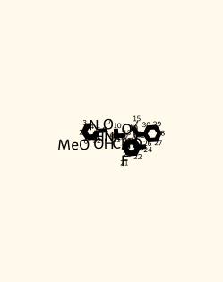 COc1ccnc(C(=O)N[C@](C)(C=O)CO[C@H](C)[C@H](c2ccc(F)cc2C)C2CCCCC2)c1O